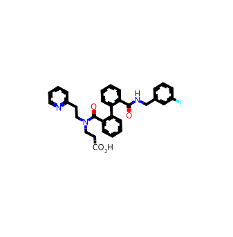 O=C(O)CCN(CCc1ccccn1)C(=O)c1ccccc1-c1ccccc1C(=O)NCc1cccc(F)c1